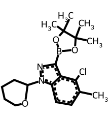 Cc1ccc2c(c(B3OC(C)(C)C(C)(C)O3)nn2C2CCCCO2)c1Cl